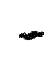 CC1OC(O[C@H]2CCC3(C)C4CCC5(C)C(C6=CC(=O)OC6)CC[C@]5(O)[C@@H]4CC[C@H]3C2)CCC1N=[N+]=[N-]